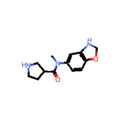 CN(C(=O)C1CCNC1)c1ccc2c(c1)NCO2